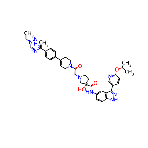 C=C(/N=C\N(N)CC)c1ccc(C2=CCN(C(=O)CN3CC[C@@](O)(C(=O)Nc4ccc5[nH]nc(-c6ccc(OC(C)C)nc6)c5c4)C3)CC2)cc1